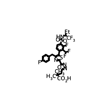 CCC(NS(=O)(=O)c1ccc(-c2sc(-c3nnc(CC(C)(C)C(=O)O)o3)nc2Cc2ccc(F)cc2)c(C(F)F)c1F)C(F)(F)F